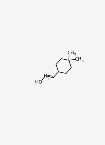 CC1(C)CCC(/C=N/O)CC1